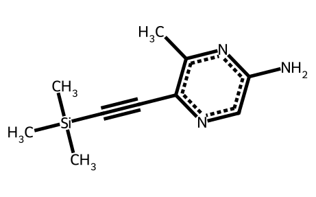 Cc1nc(N)cnc1C#C[Si](C)(C)C